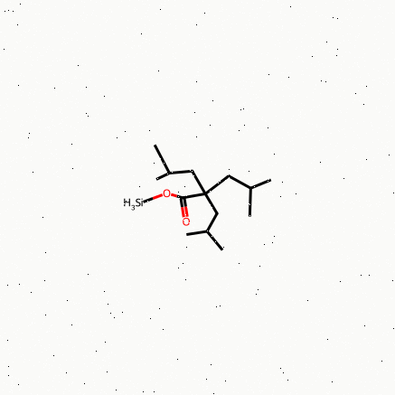 CC(C)CC(CC(C)C)(CC(C)C)C(=O)O[SiH3]